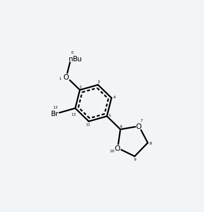 CCCCOc1ccc(C2OCCO2)cc1Br